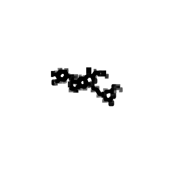 C=CC(=O)Nc1cc2c(Nc3ccc(F)c(Cl)c3)ncnc2cc1OCCCN1CC(=O)OC(C)C1